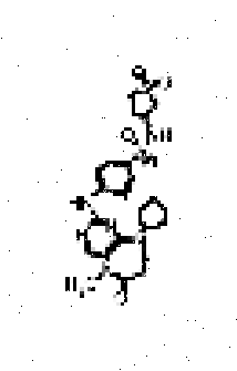 CN1C(=O)CCN(C2CCCC2)c2nc(Nc3ccc(S(=O)(=O)NC4CCS(=O)(=O)C4)cc3)ncc21